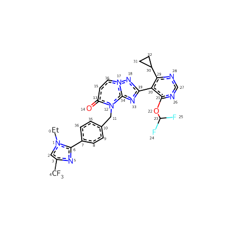 CCn1cc(C(F)(F)F)nc1-c1ccc(Cn2c(=O)ccn3nc(-c4c(OC(F)F)ncnc4C4CC4)nc23)cc1